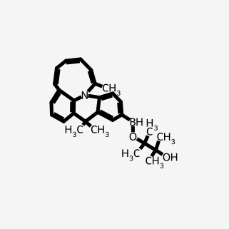 Cc1cccccc2cccc3c2n1-c1ccc(BOC(C)(C)C(C)(C)O)cc1C3(C)C